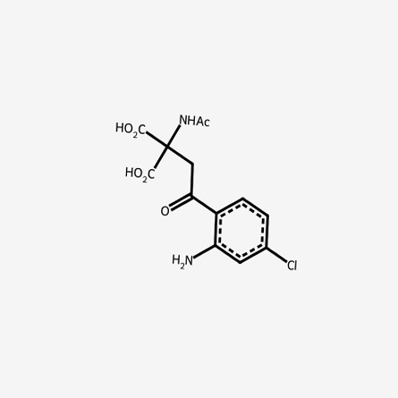 CC(=O)NC(CC(=O)c1ccc(Cl)cc1N)(C(=O)O)C(=O)O